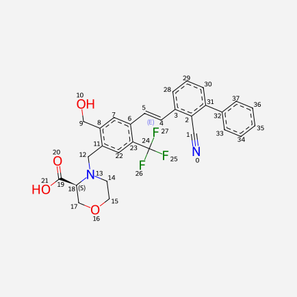 N#Cc1c(/C=C/c2cc(CO)c(CN3CCOC[C@H]3C(=O)O)cc2C(F)(F)F)cccc1-c1ccccc1